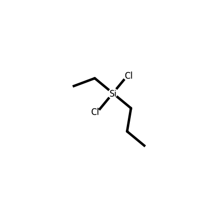 CCC[Si](Cl)(Cl)CC